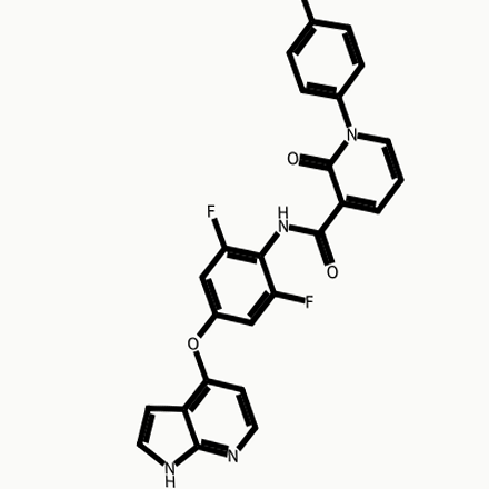 O=C(Nc1c(F)cc(Oc2ccnc3[nH]ccc23)cc1F)c1cccn(-c2ccc(F)cc2)c1=O